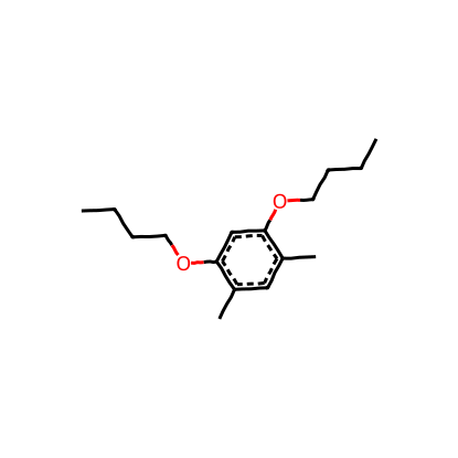 CCCCOc1cc(OCCCC)c(C)cc1C